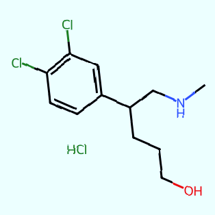 CNCC(CCCO)c1ccc(Cl)c(Cl)c1.Cl